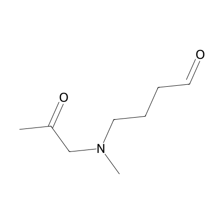 CC(=O)CN(C)CCCC=O